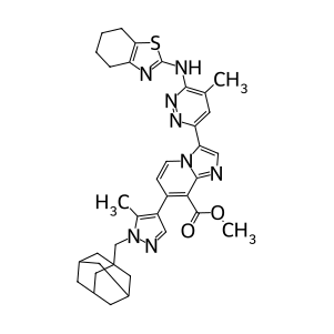 COC(=O)c1c(-c2cnn(CC34CC5CC(CC(C5)C3)C4)c2C)ccn2c(-c3cc(C)c(Nc4nc5c(s4)CCCC5)nn3)cnc12